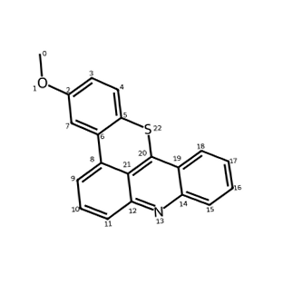 COc1ccc2c(c1)-c1cccc3nc4ccccc4c(c13)S2